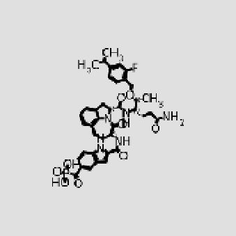 CC(C)c1ccc(CO[C@H](C)[C@H](CCC(N)=O)NC(=O)[C@@H]2Cc3cccc4c3N2C(=O)[C@@H](NC(=O)c2cc3cc(C(=O)P(=O)(O)O)ccc3[nH]2)CC4)c(F)c1